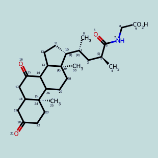 C[C@H](C[C@H](C)C(=O)NCC(=O)O)[C@H]1CCC2C3C(=O)CC4CC(=O)CC[C@]4(C)C3CC[C@@]21C